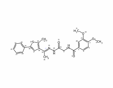 COc1ccc(C(=O)NCC(=O)N/N=C(\C)c2cc(-c3ccccc3)sc2C)cc1OC